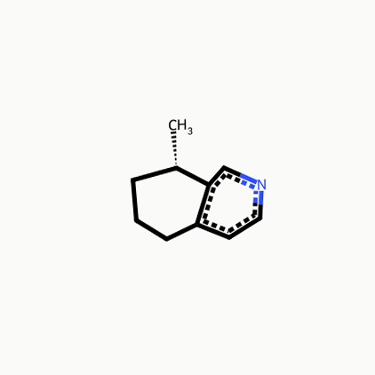 C[C@H]1CCCc2ccncc21